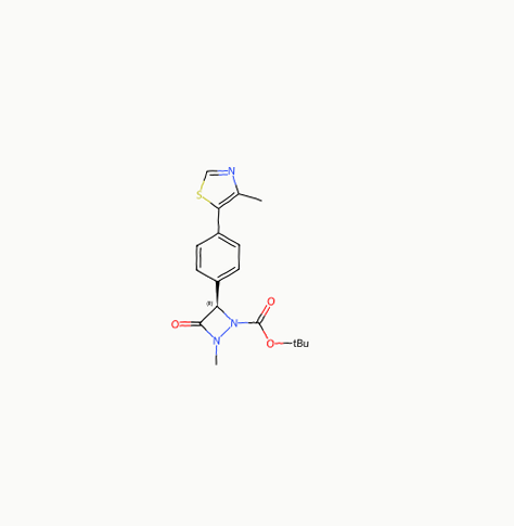 Cc1ncsc1-c1ccc([C@@H]2C(=O)N(C)N2C(=O)OC(C)(C)C)cc1